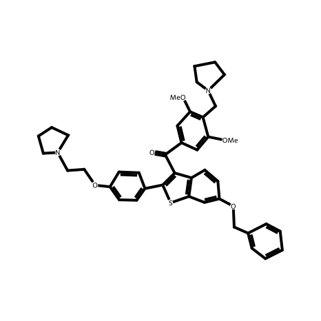 COc1cc(C(=O)c2c(-c3ccc(OCCN4CCCC4)cc3)sc3cc(OCc4ccccc4)ccc23)cc(OC)c1CN1CCCC1